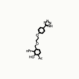 CCCc1c(COCCOc2ccc(-c3nnn[nH]3)cc2)ccc(C(C)=O)c1O